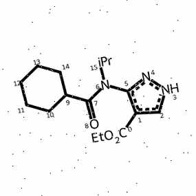 CCOC(=O)c1c[nH]nc1N(C(=O)C1CCCCC1)C(C)C